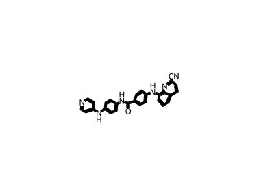 N#Cc1ccc2cccc(Nc3ccc(C(=O)Nc4ccc(Nc5ccncc5)cc4)cc3)c2n1